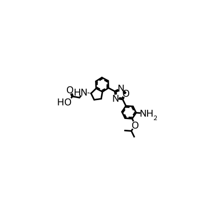 CC(C)Oc1ccc(-c2nc(-c3cccc4c3CC[C@@H]4NCC(=O)O)no2)cc1N